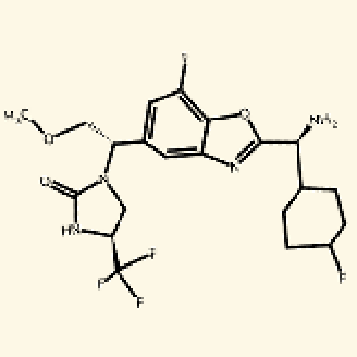 COC[C@H](c1cc(F)c2oc([C@@H](N)C3CCC(F)CC3)nc2c1)N1C[C@@H](C(F)(F)F)NC1=O